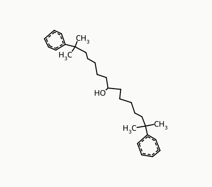 CC(C)(CCCCCC(O)CCCCCC(C)(C)c1ccccc1)c1ccccc1